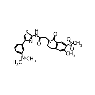 Cc1cc2c(cc1S(C)(=O)=O)C(=O)N(CC(=O)Nc1nc(-c3cccc(N(C)C)c3)cs1)CC2